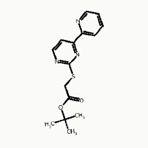 CC(C)(C)OC(=O)CSc1nccc(-c2ccccn2)n1